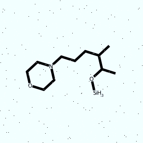 CC(CCCN1CCOCC1)C(C)O[SiH3]